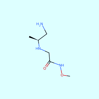 CONC(=O)CN[C@@H](C)CN